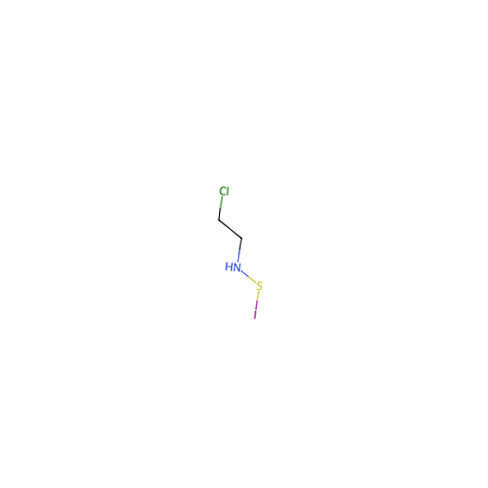 ClCCNSI